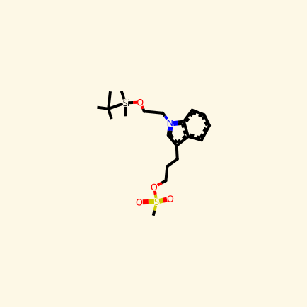 CC(C)(C)[Si](C)(C)OCCn1cc(CCCOS(C)(=O)=O)c2ccccc21